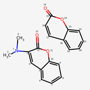 CN(C)c1cc2ccccc2oc1=O.O=c1ccc2ccccc2o1